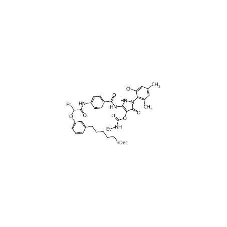 CCCCCCCCCCCCCCCc1cccc(OC(CC)C(=O)Nc2ccc(C(=O)Nc3[nH]n(-c4c(C)cc(C)cc4Cl)c(=O)c3OC(=O)NCC)cc2)c1